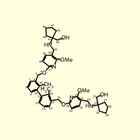 COc1nc(OCc2cccc(-c3cccc(COc4ccc(CNC5(CO)CCCC5)c(OC)n4)c3C)c2C)ccc1CNC1(CO)CCCC1